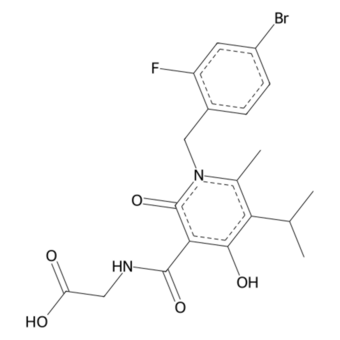 Cc1c(C(C)C)c(O)c(C(=O)NCC(=O)O)c(=O)n1Cc1ccc(Br)cc1F